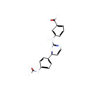 CC(=O)Nc1ccc(-c2ccnc(Nc3cccc(C(=O)O)c3)n2)cc1